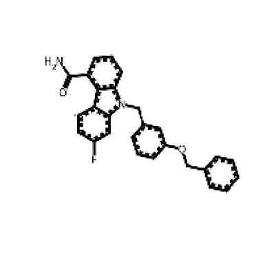 NC(=O)c1cccc2c1c1[c]cc(F)cc1n2Cc1cccc(OCc2ccccc2)c1